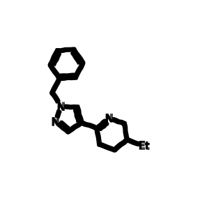 CCC1CCC(c2cnn(Cc3ccccc3)c2)=NC1